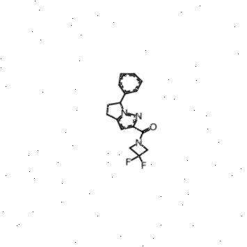 O=C(c1cc2n(n1)C(c1ccccc1)CC2)N1CC(F)(F)C1